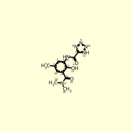 Cc1cc(NC(=O)c2nnn[nH]2)c(O)c(C(=O)N(C)C)c1